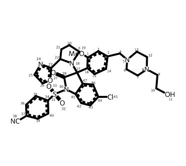 COc1cc(CN2CCN(CCO)CC2)ccc1C1(N2CCCC2c2ncco2)C(=O)N(S(=O)(=O)c2ccc(C#N)cc2)c2ccc(Cl)cc21